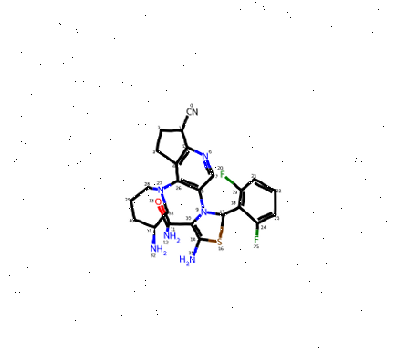 N#CC1CCc2c1ncc(N1C(C(N)=O)=C(N)SC1c1c(F)cccc1F)c2N1CCC[C@H](N)C1